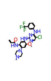 C=CC(=O)Nc1cc(Nc2ncc(Cl)c(Nc3cccc(C(F)(F)F)c3)n2)c(OC)cc1N1CCN(C)CC1